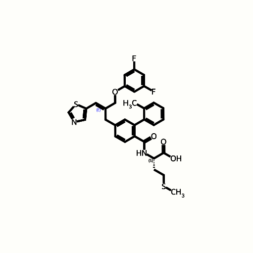 CSCC[C@H](NC(=O)c1ccc(C/C(=C\c2cncs2)COc2cc(F)cc(F)c2)cc1-c1ccccc1C)C(=O)O